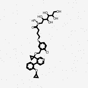 CCCN(CC(O)C(O)C(O)C(O)CO)C(=O)CCCSc1ccc(Cl)c(COC2(c3cnccc3-c3ccccc3OC3CC3)CC2)c1